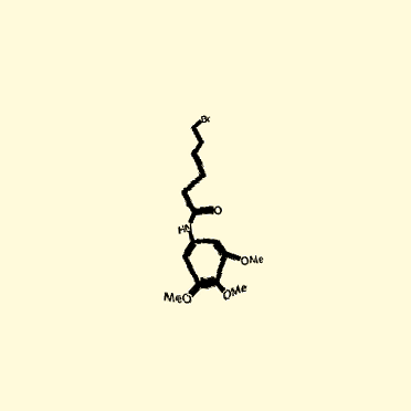 COc1cc(NC(=O)CCCCCBr)cc(OC)c1OC